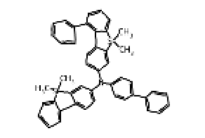 C[Si]1(C)c2ccccc2-c2ccc(N(c3ccc(-c4ccccc4)cc3)c3ccc4c(c3)[Si](C)(C)c3cccc(-c5ccccc5)c3-4)cc21